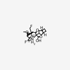 COc1c2c(F)c(CF)c3c1[N+](N)(CC(C(=O)O)(C1C[C@@H]4CC[C@H]4C1)C3=O)[C@]21C[C@@H]1F